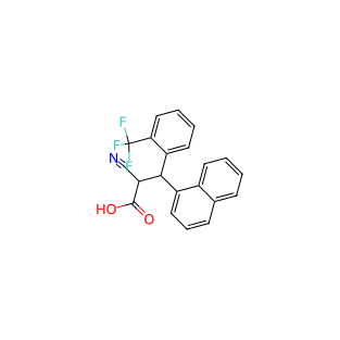 N#CC(C(=O)O)C(c1ccccc1C(F)(F)F)c1cccc2ccccc12